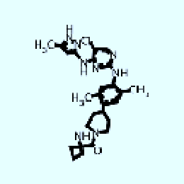 Cc1cc(Nc2nc(Nc3cc(C)c(C4CCN(C(=O)C5(N)CCC5)CC4)cc3C)ncc2Cl)n[nH]1